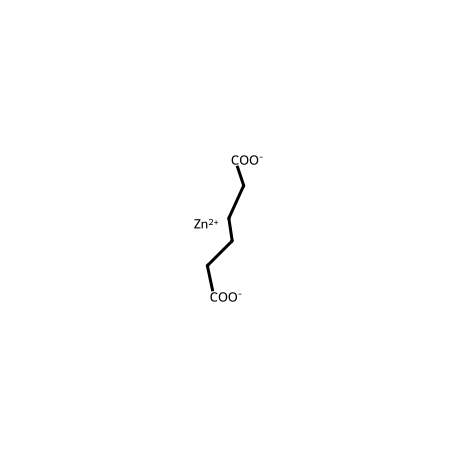 O=C([O-])CCCCC(=O)[O-].[Zn+2]